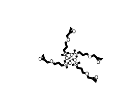 C[Si](C)(CCCOCC1CO1)O[Si](O[Si](C)(C)CCCOCC1CO1)(O[Si](C)(C)CCCOCC1CO1)O[Si](C)(C)CCCOCC1CO1